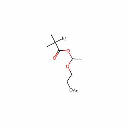 CCC(C)(C)C(=O)OC(C)OCCOC(C)=O